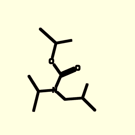 CC(C)CN(C(=O)OC(C)C)C(C)C